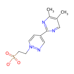 Cc1cnc(-c2cc[n+](CCS(=O)(=O)[O-])nc2)nc1C